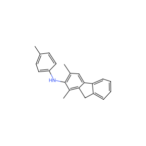 Cc1ccc(Nc2c(C)cc3c(c2C)Cc2ccccc2-3)cc1